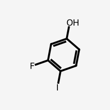 Oc1ccc(I)c(F)c1